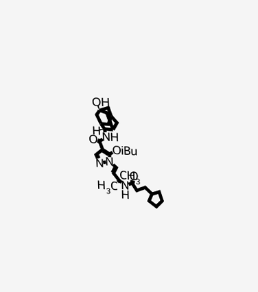 CC(C)COc1c(C(=O)N[C@H]2C3CC4CC2C[C@](O)(C4)C3)cnn1/C=C/C(C)(C)NC(=O)CCC1CCCC1